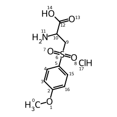 COc1ccc(S(=O)(=O)CC(N)C(=O)O)cc1.Cl